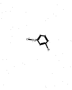 [Cl][Mg][c]1cccc(Br)c1